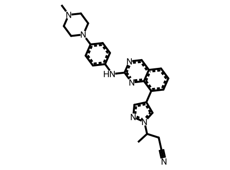 CC(CC#N)n1cc(-c2cccc3cnc(Nc4ccc(N5CCN(C)CC5)cc4)nc23)cn1